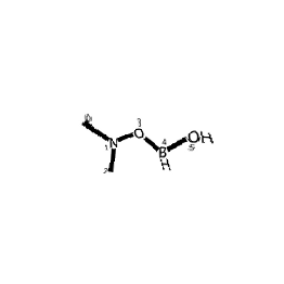 CN(C)OBO